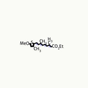 CCOC(=O)/C=C(C)/C=C/C=C(C)/C=C/c1sc(OC)cc1C